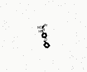 CC(C)/C(C#N)=N/Nc1ccc(OCc2ccccc2)cc1